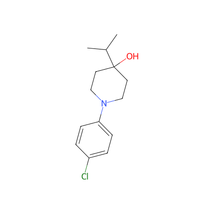 CC(C)C1(O)CCN(c2ccc(Cl)cc2)CC1